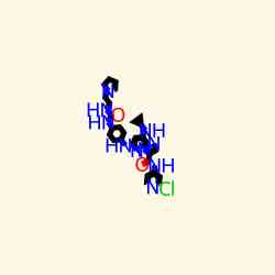 O=C(NCCN1CCCC1)NC1CCC(Nc2cc(NC3CC3)c3ncc(C(=O)Nc4ccnc(Cl)c4)n3n2)CC1